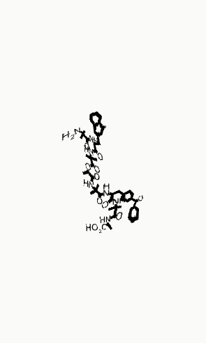 CC(NC(=O)C(C)(C)NC(=O)C(Cc1ccc(C(=O)c2ccccc2)cc1)NC(=O)C(C)(C)NC(=O)C(C)OC(=O)C(C)(C)NC(=O)C(Cc1ccc2ccccc2c1)NC(=O)C(C)(C)N)C(=O)O